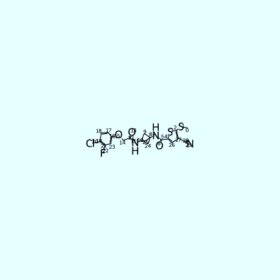 CSc1sc(C(=O)NC23CC(NC(=O)COc4ccc(Cl)c(F)c4)(C2)C3)cc1C#N